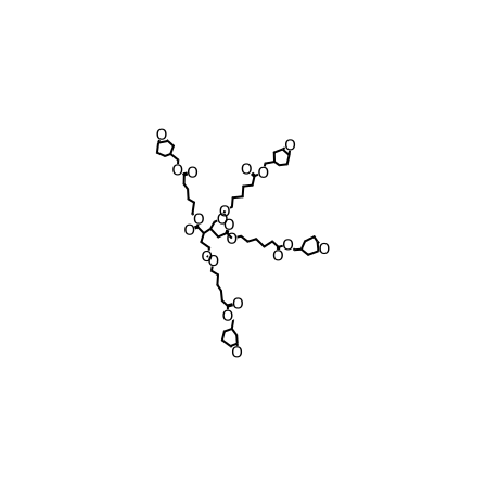 O=C(CCCCCOOCCC(C(=O)OCCCCCC(=O)OCC1CCC2OC2C1)C(COOCCCCCC(=O)OCC1CCC2OC2C1)CC(=O)OCCCCCC(=O)OCC1CCC2OC2C1)OCC1CCC2OC2C1